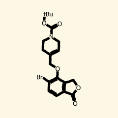 CC(C)(C)OC(=O)N1CC=C(COc2c(Br)ccc3c2COC3=O)CC1